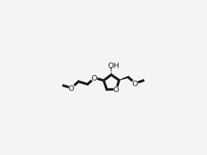 COCCOC1CO[C@H](COC)[C@H]1O